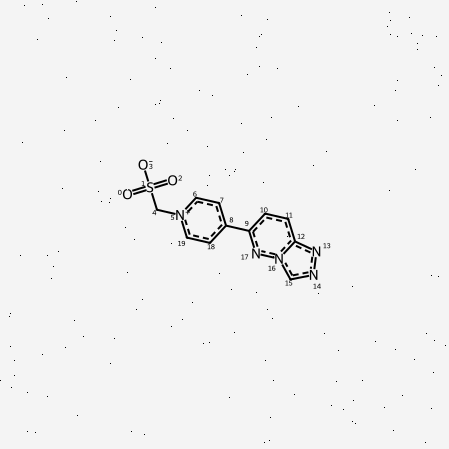 O=S(=O)([O-])C[n+]1ccc(-c2ccc3nncn3n2)cc1